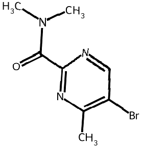 Cc1nc(C(=O)N(C)C)ncc1Br